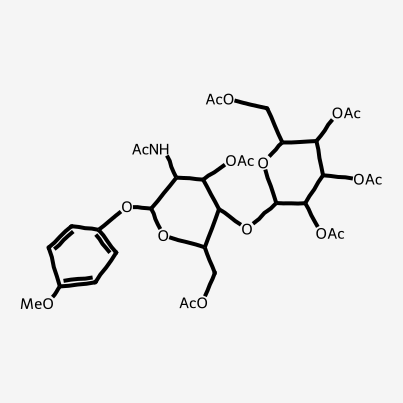 COc1ccc(OC2OC(COC(C)=O)C(OC3OC(COC(C)=O)C(OC(C)=O)C(OC(C)=O)C3OC(C)=O)C(OC(C)=O)C2NC(C)=O)cc1